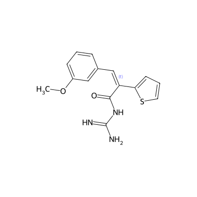 COc1cccc(/C=C(\C(=O)NC(=N)N)c2cccs2)c1